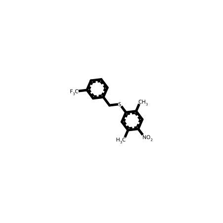 Cc1cc([N+](=O)[O-])c(C)cc1SCc1cccc(C(F)(F)F)c1